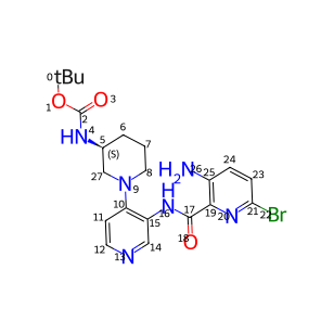 CC(C)(C)OC(=O)N[C@H]1CCCN(c2ccncc2NC(=O)c2nc(Br)ccc2N)C1